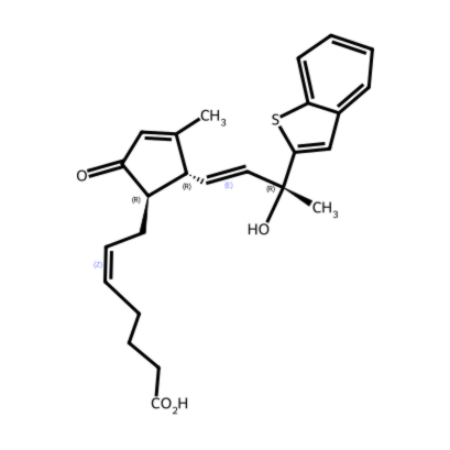 CC1=CC(=O)[C@H](C/C=C\CCCC(=O)O)[C@H]1/C=C/[C@@](C)(O)c1cc2ccccc2s1